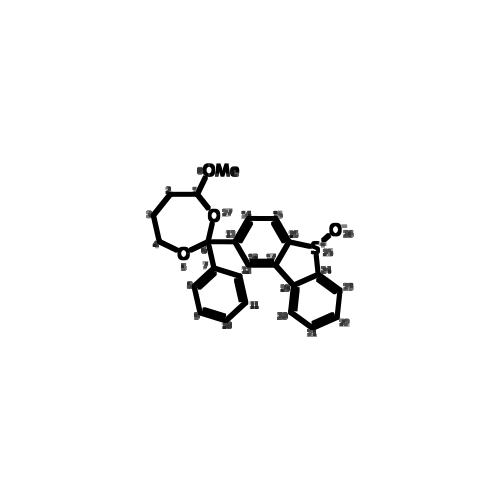 COC1CCCOC(c2ccccc2)(c2ccc3c(c2)c2ccccc2[s+]3[O-])O1